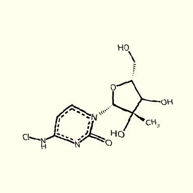 C[C@]1(O)C(O)[C@@H](CO)O[C@H]1n1ccc(NCl)nc1=O